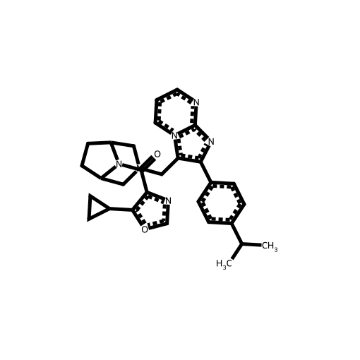 CC(C)c1ccc(-c2nc3ncccn3c2CN2CC3CCC(C2)N3C(=O)c2ncoc2C2CC2)cc1